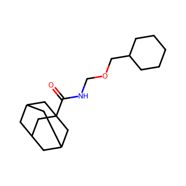 O=C(NCOCC1CCCCC1)C12CC3CC(CC(C3)C1)C2